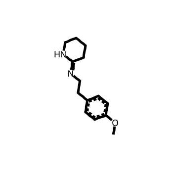 COc1ccc(CCN=C2CCCCN2)cc1